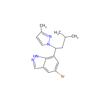 Cc1ccn(C(CC(C)C)c2cc(Br)cc3cn[nH]c23)n1